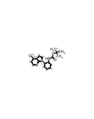 CC(C)(C)OC(=O)Nc1ccccc1-n1ccc2c(Cl)ccnc21